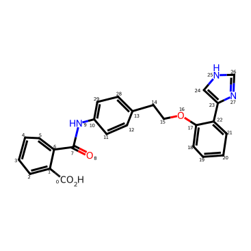 O=C(O)c1ccccc1C(=O)Nc1ccc(CCOc2ccccc2-c2c[nH]cn2)cc1